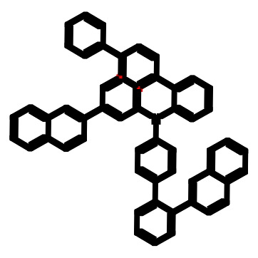 c1ccc(-c2ccc(-c3ccccc3N(c3ccc(-c4ccccc4-c4ccc5ccccc5c4)cc3)c3cccc(-c4ccc5ccccc5c4)c3)cc2)cc1